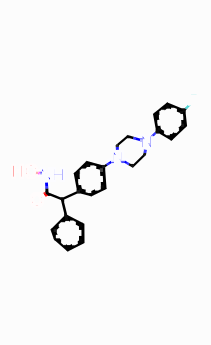 O=C(NO)C(c1ccccc1)c1ccc(N2CCN(c3ccc(F)cc3)CC2)cc1